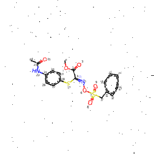 COC(=O)/C(=N/OS(=O)(=O)Cc1ccccc1)Sc1ccc(NC(C)=O)cc1